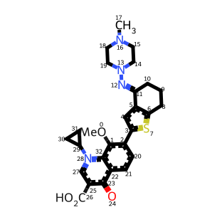 COc1c(-c2cc3c(s2)CCC/C3=N\N2CCN(C)CC2)ccc2c(=O)c(C(=O)O)cn(C3CC3)c12